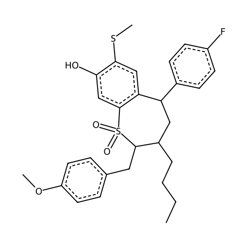 CCCCC1CC(c2ccc(F)cc2)c2cc(SC)c(O)cc2S(=O)(=O)C1Cc1ccc(OC)cc1